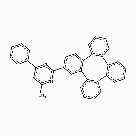 Cc1nc(-c2ccccc2)nc(-c2ccc3c(c2)-c2ccccc2-c2ccccc2-c2ccccc2-3)n1